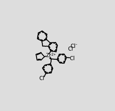 Clc1ccc([C](c2ccc(Cl)cc2)=[Zr+2]([c]2cccc3c2Cc2ccccc2-3)[CH]2C=CC=C2)cc1.[Cl-].[Cl-]